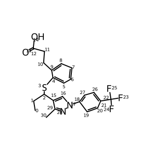 CCC(Sc1ccccc1CCC(=O)O)c1cn(-c2ccc(C(F)(F)F)cc2)nc1C